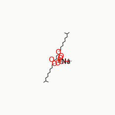 CC(C)CCCCCCCOC(=O)CC(C(=O)OCCCCCCCC(C)C)S(=O)(=O)O.[Na]